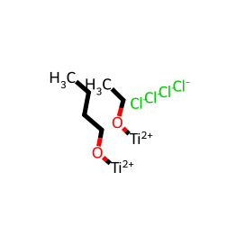 CCCC[O][Ti+2].CC[O][Ti+2].[Cl-].[Cl-].[Cl-].[Cl-]